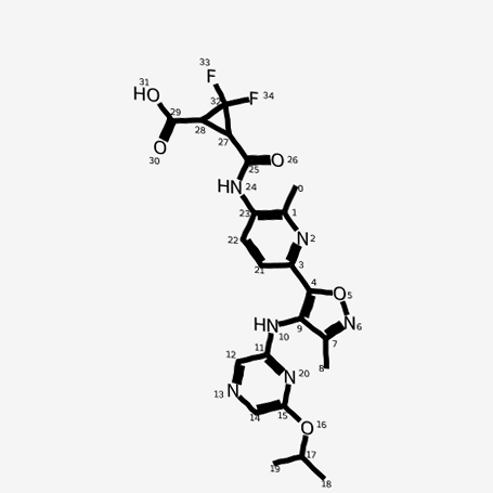 Cc1nc(-c2onc(C)c2Nc2cncc(OC(C)C)n2)ccc1NC(=O)C1C(C(=O)O)C1(F)F